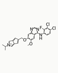 COc1cc2c(Nc3ccc(Cl)c(Cl)c3F)ncnc2cc1OCC1=CC2=C[N+](C(C)C)=CC2=C1